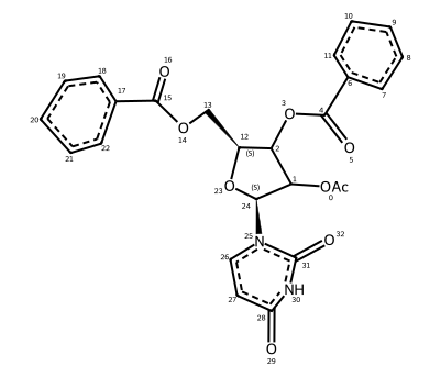 CC(=O)OC1C(OC(=O)c2ccccc2)[C@H](COC(=O)c2ccccc2)O[C@@H]1n1ccc(=O)[nH]c1=O